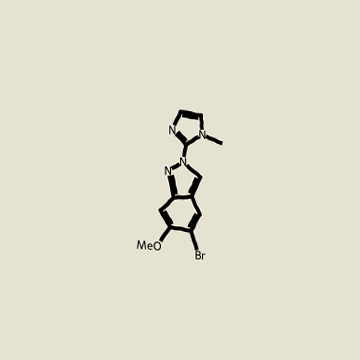 COc1cc2nn(-c3nccn3C)cc2cc1Br